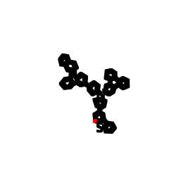 c1ccc2cc(-n3c4ccccc4c4cc(-c5ccc(N(c6ccc(-c7ccc8sc9ccccc9c8c7)cc6)c6ccc7c8ccccc8c8ccccc8c7c6)cc5)ccc43)ccc2c1